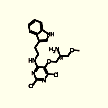 COC[C@H](N)COc1c(Cl)nc(Cl)nc1NCCc1c[nH]c2ccccc12